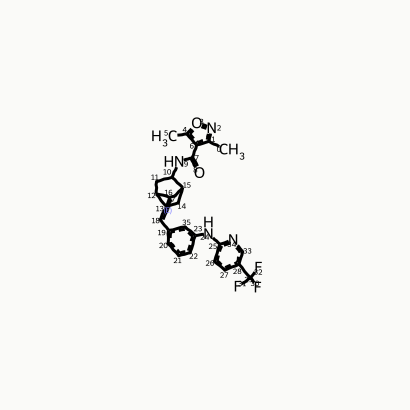 Cc1noc(C)c1C(=O)NC1CC2CCC1C/C2=C\c1cccc(Nc2ccc(C(F)(F)F)cn2)c1